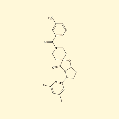 Cc1cncc(C(=O)N2CCC3(CC2)OC2CCC(c4cc(F)cc(F)c4)N2C3=O)c1